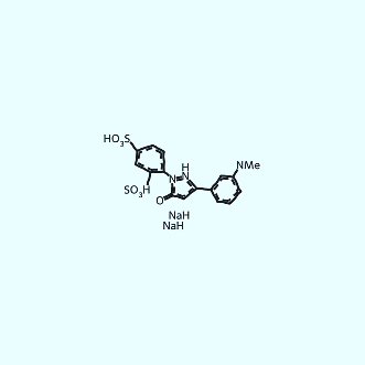 CNc1cccc(-c2cc(=O)n(-c3ccc(S(=O)(=O)O)cc3S(=O)(=O)O)[nH]2)c1.[NaH].[NaH]